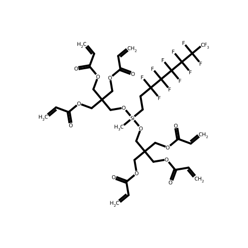 C=CC(=O)OCC(COC(=O)C=C)(COC(=O)C=C)CO[Si](C)(CCC(F)(F)C(F)(F)C(F)(F)C(F)(F)C(F)(F)C(F)(F)F)OCC(COC(=O)C=C)(COC(=O)C=C)COC(=O)C=C